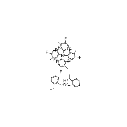 CCc1ccccc1C[NH2+]Cc1ccccc1CC.Cc1c(F)cc(F)c([B-](c2c(F)cc(F)c(C)c2F)(c2c(F)cc(F)c(C)c2F)c2c(F)cc(F)c(C)c2F)c1F